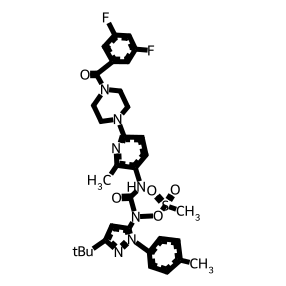 Cc1ccc(-n2nc(C(C)(C)C)cc2N(OS(C)(=O)=O)C(=O)Nc2ccc(N3CCN(C(=O)c4cc(F)cc(F)c4)CC3)nc2C)cc1